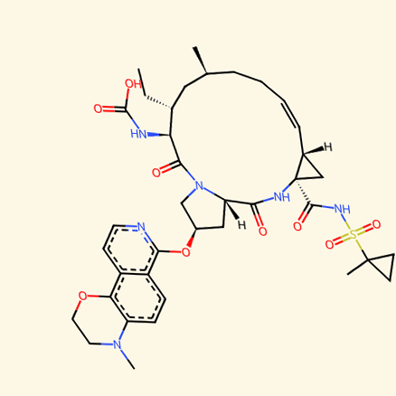 CC[C@@H]1C[C@@H](C)CC/C=C\[C@@H]2C[C@@]2(C(=O)NS(=O)(=O)C2(C)CC2)NC(=O)[C@@H]2C[C@@H](Oc3nccc4c5c(ccc34)N(C)CCO5)CN2C(=O)[C@H]1NC(=O)O